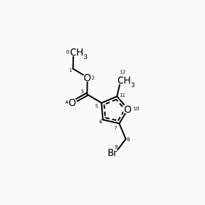 CCOC(=O)c1cc(CBr)oc1C